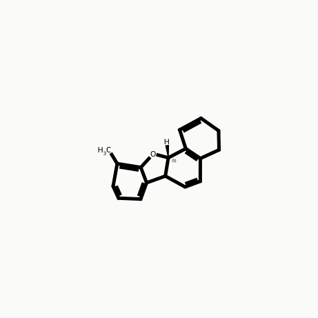 Cc1cccc2c1O[C@@H]1C3=C(C=CC21)CCC=C3